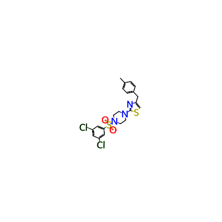 Cc1ccc(Cc2csc(N3CCN(S(=O)(=O)c4cc(Cl)cc(Cl)c4)CC3)n2)cc1